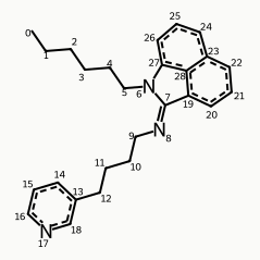 CCCCCCN1C(=NCCCCc2cccnc2)c2cccc3cccc1c23